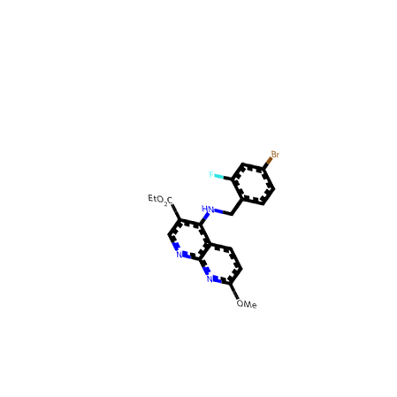 CCOC(=O)c1cnc2nc(OC)ccc2c1NCc1ccc(Br)cc1F